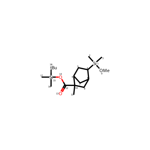 CO[Si](C)(C)C1CC2CC1CC2(C)C(=O)O[Si](C)(C)C(C)(C)C